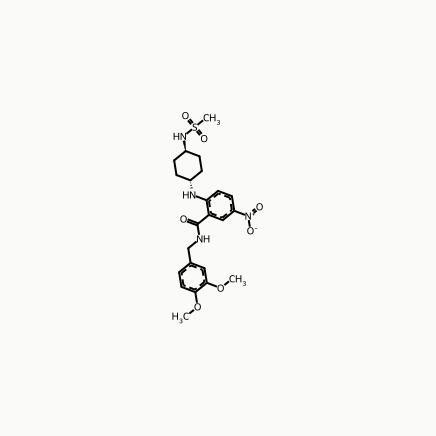 COc1ccc(CNC(=O)c2cc([N+](=O)[O-])ccc2N[C@H]2CC[C@H](NS(C)(=O)=O)CC2)cc1OC